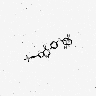 CN1[C@@H]2CC[C@H]1C[C@@H](Oc1ccc(-n3cnc4cc(C#C[Si](C)(C)C)sc4c3=O)cc1)C2